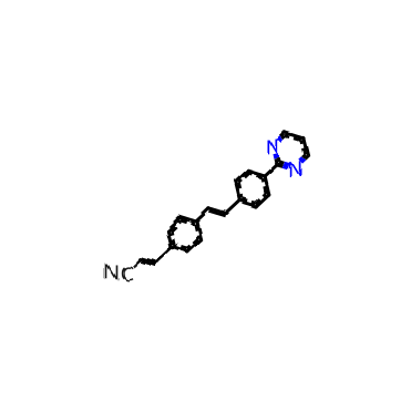 N#CC=Cc1ccc(C=Cc2ccc(-c3ncccn3)cc2)cc1